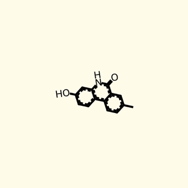 Cc1ccc2c(c1)c(=O)[nH]c1cc(O)ccc12